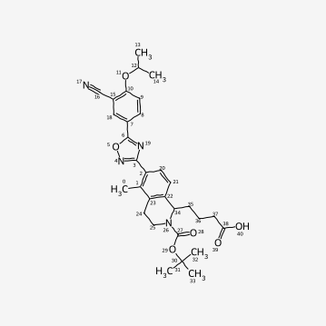 Cc1c(-c2noc(-c3ccc(OC(C)C)c(C#N)c3)n2)ccc2c1CCN(C(=O)OC(C)(C)C)C2CCCC(=O)O